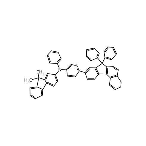 CC1(C)c2ccccc2-c2ccc(N(c3ccccc3)c3ccc(-c4ccc5c(c4)C(c4ccccc4)(c4ccccc4)c4ccc6c(c4-5)C=CCC6)nc3)cc21